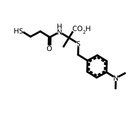 CN(C)c1ccc(CSC(C)(NC(=O)CCS)C(=O)O)cc1